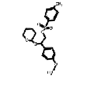 COc1ccc(C(COS(=O)(=O)c2ccc(C)cc2)OC2CCCCO2)cc1